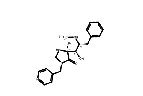 CC(C)[C@@]1([C@H](O)[C@H](Cc2ccccc2)NC(=O)O)NCN(Cc2ccncc2)C1=O